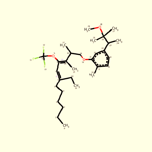 CCCCCC/C(=C/C(OC(F)(F)F)=C(\C)C(C)COc1cc(C(C)C(C)(C)OC)ccc1C)CC